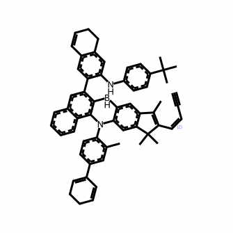 C#C/C=C\C1=C(C)c2cc3c(cc2C1(C)C)N(c1ccc(C2=CCCC=C2)cc1C)c1c(c(-c2cc4c(cc2Nc2ccc(C(C)(C)C)cc2)CCC=C4)cc2ccccc12)B3